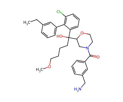 CCc1cccc(-c2c(Cl)cccc2C(O)(CCCCOC)C2CN(C(=O)c3cccc(CN)c3)CCO2)c1